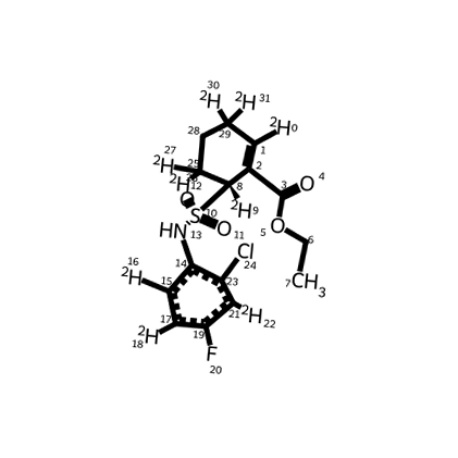 [2H]C1=C(C(=O)OCC)[C@]([2H])(S(=O)(=O)Nc2c([2H])c([2H])c(F)c([2H])c2Cl)C([2H])([2H])CC1([2H])[2H]